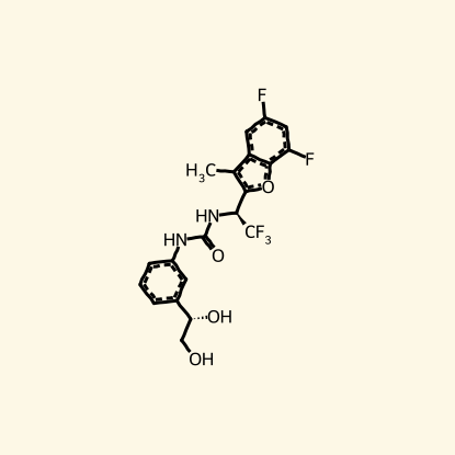 Cc1c([C@H](NC(=O)Nc2cccc([C@H](O)CO)c2)C(F)(F)F)oc2c(F)cc(F)cc12